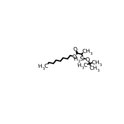 CCCCCCCCOC(=O)C(C)[SiH2]OC(C)(C)C